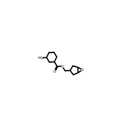 O=C(OCC1CC2OC2C1)C1CCCC(O)C1